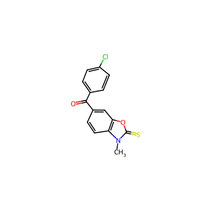 Cn1c(=S)oc2cc(C(=O)c3ccc(Cl)cc3)ccc21